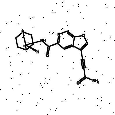 NC(=O)C#Cc1coc2cnc(C(=O)N[C@H]3CN4CCC3CC4)cc12